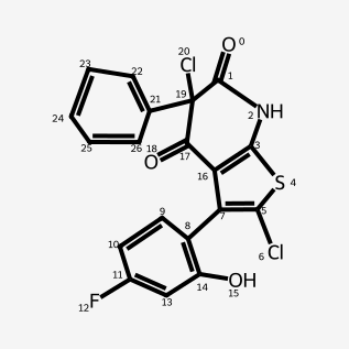 O=C1Nc2sc(Cl)c(-c3ccc(F)cc3O)c2C(=O)C1(Cl)c1ccccc1